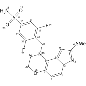 CSC1=NC2C=CC3=C(C2=C1)N(Cc1c(F)cc(S(N)(=O)=O)cc1F)CCO3